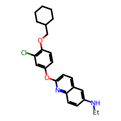 CCNc1ccc2nc(Oc3ccc(OCC4CCCCC4)c(Cl)c3)ccc2c1